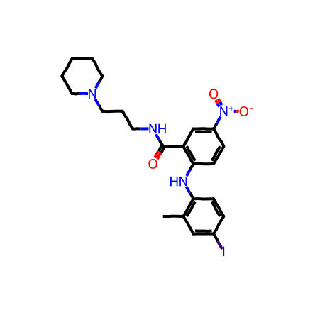 Cc1cc(I)ccc1Nc1ccc([N+](=O)[O-])cc1C(=O)NCCCN1CCCCC1